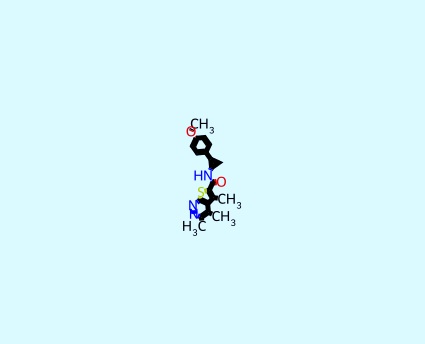 COc1ccc(C2CC2NC(=O)c2sc3nnc(C)c(C)c3c2C)cc1